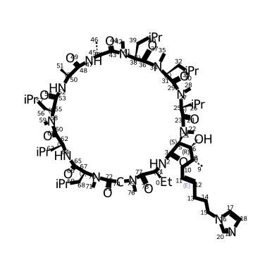 CC[C@@H]1NC(=O)[C@H]([C@H](O)[C@H](C)C/C=C/CCCn2ccnc2)N(C)C(=O)[C@H](C(C)C)N(C)C(=O)[C@H](CC(C)C)N(C)C(=O)[C@H](CC(C)C)N(C)C(=O)[C@@H](C)NC(=O)[C@H](C)NC(=O)[C@H](CC(C)C)N(C)C(=O)[C@H](C(C)C)NC(=O)[C@H](CC(C)C)N(C)C(=O)CN(C)C1=O